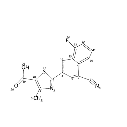 Cc1nc(-c2cc(C#N)c3cccc(F)c3c2)sc1C(=O)O